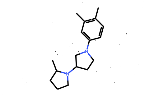 Cc1ccc(N2CCC(N3CCCC3C)C2)cc1C